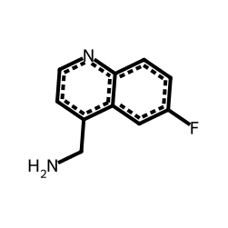 NCc1ccnc2ccc(F)cc12